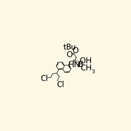 CB(O)N[C@H](CC(=O)OC(C)(C)C)Cc1cccc2c(C(CCCl)CCCl)cccc12